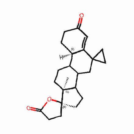 C[C@]12CCC3C(CC4(CC4)C4=CC(=O)CC[C@@H]43)C1CC[C@@]21CCC(=O)O1